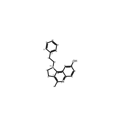 Cc1nc2ccc(O)cc2c2c1CCN2CCc1ccccc1